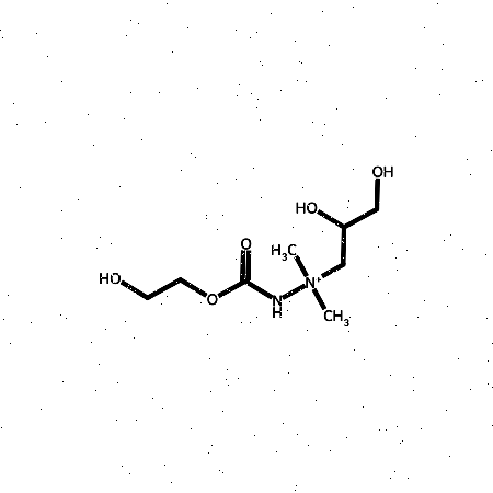 C[N+](C)(CC(O)CO)NC(=O)OCCO